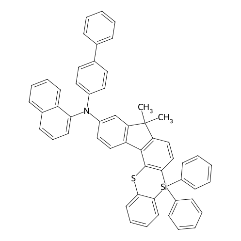 CC1(C)c2cc(N(c3ccc(-c4ccccc4)cc3)c3cccc4ccccc34)ccc2-c2c1ccc1c2Sc2ccccc2[Si]1(c1ccccc1)c1ccccc1